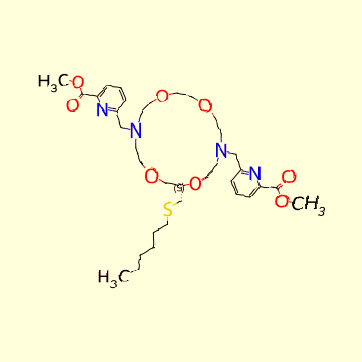 CCCCCCSC[C@@H]1COCCN(Cc2cccc(C(=O)OC)n2)CCOCCOCCN(Cc2cccc(C(=O)OC)n2)CCO1